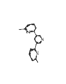 Cc1cccc(-c2cncc(-c3cccc(C)n3)c2)n1